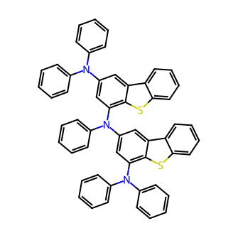 c1ccc(N(c2ccccc2)c2cc(N(c3ccccc3)c3cc(N(c4ccccc4)c4ccccc4)c4sc5ccccc5c4c3)c3sc4ccccc4c3c2)cc1